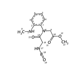 CNc1ccccc1N(CC(=O)OC)C(=O)CNB=O